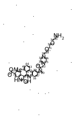 COC(=O)c1ccc2c(c1)NC(=O)/C2=C(\Nc1ccc(N(C)C(=O)CN2CCN(CCOCCOCCN)CC2)cc1)c1ccccc1